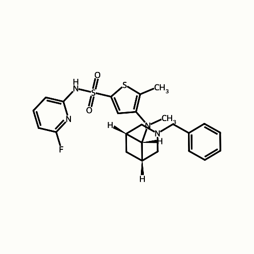 Cc1sc(S(=O)(=O)Nc2cccc(F)n2)cc1N(C)[C@H]1[C@@H]2C[C@H]1CN(Cc1ccccc1)C2